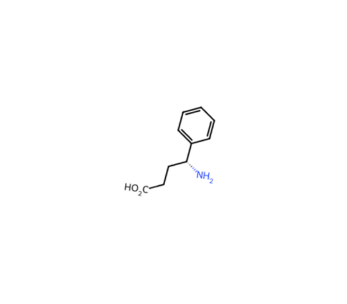 N[C@H](CCC(=O)O)c1ccccc1